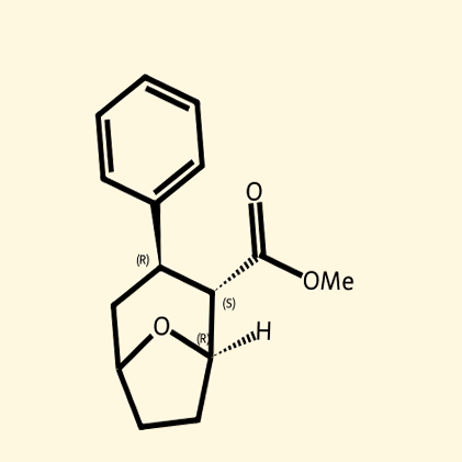 COC(=O)[C@@H]1[C@H]2CCC(C[C@H]1c1ccccc1)O2